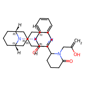 C=C(O)CN1C(=O)CCCC1c1nc2ccccc2n([C@H]2C[C@H]3CCC[C@@H](C2)N3[C@H]2C[C@@H]3CCC[C@@H](C3)C2)c1=O